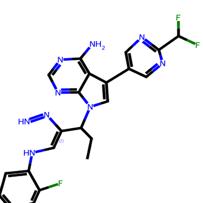 CCC(/C(=C/Nc1ccccc1F)N=N)n1cc(-c2cnc(C(F)F)nc2)c2c(N)ncnc21